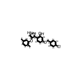 Cc1ccc(C)c(Oc2c[nH]nc2-c2ccc(OCc3ccc(Cl)cc3)cc2O)c1